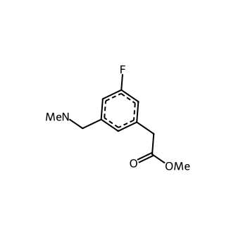 CNCc1cc(F)cc(CC(=O)OC)c1